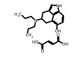 CCCN(CCC)C1Cc2c[nH]c3ccc(O)c(c23)C1.O=C(O)/C=C/C(=O)O